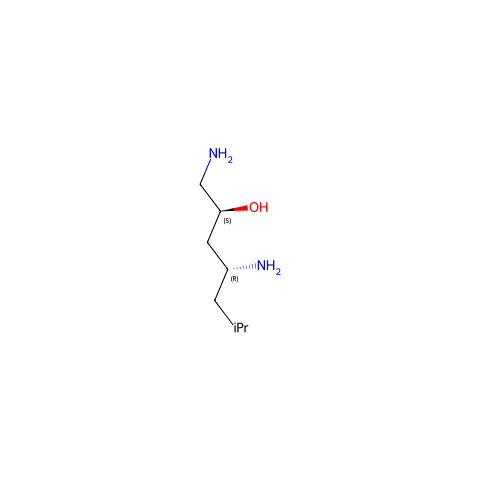 CC(C)C[C@@H](N)C[C@H](O)CN